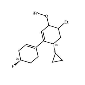 CCC1C[C@H](C2CC2)C(C2=CC[C@H](F)CC2)=CC1OC(C)C